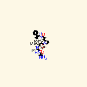 CC[C@H](C)[C@@H]([C@@H](CC(=O)N1CCC[C@H]1[C@H](OC)[C@@H](C)C(=O)NCC1(c2ccccc2)CC1)OC)N(C)[C@H](C(=O)NC(=O)C(C)(C)N)C(C)C